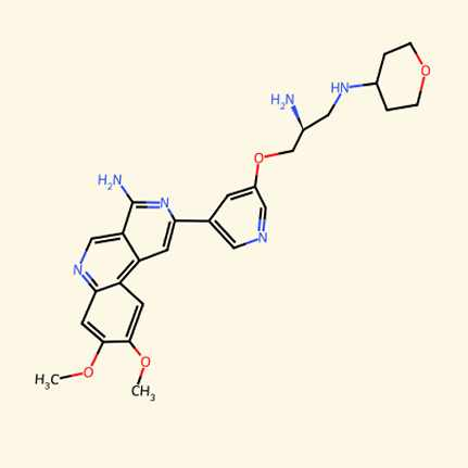 COc1cc2ncc3c(N)nc(-c4cncc(OC[C@@H](N)CNC5CCOCC5)c4)cc3c2cc1OC